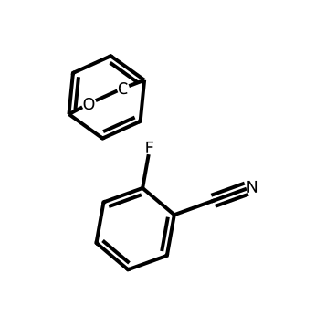 N#Cc1ccccc1F.c1cc2ccc1CO2